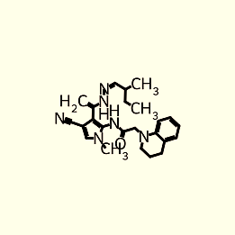 C=C(N/N=C\C(C)CC)c1c(C#N)cn(C)c1NC(=O)CN1CCCc2ccccc21